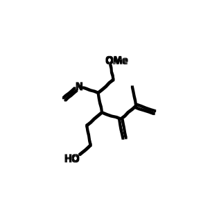 C=NC(COC)C(CCO)C(=C)C(=C)C